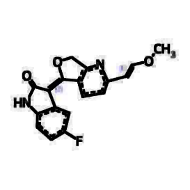 CO/C=C/c1ccc2c(n1)CO/C2=C1\C(=O)Nc2ccc(F)cc21